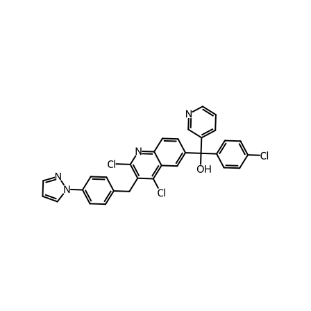 OC(c1ccc(Cl)cc1)(c1cccnc1)c1ccc2nc(Cl)c(Cc3ccc(-n4cccn4)cc3)c(Cl)c2c1